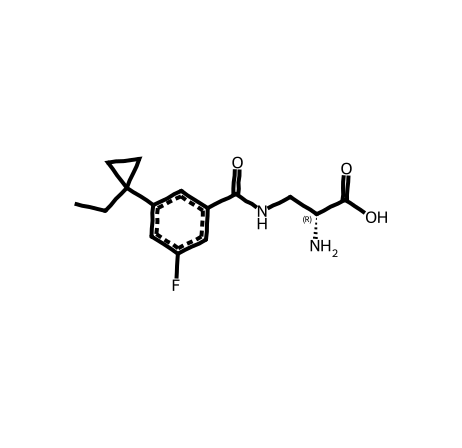 CCC1(c2cc(F)cc(C(=O)NC[C@@H](N)C(=O)O)c2)CC1